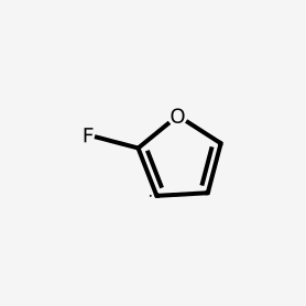 Fc1[c]cco1